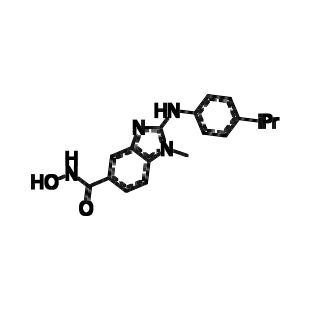 CC(C)c1ccc(Nc2nc3cc(C(=O)NO)ccc3n2C)cc1